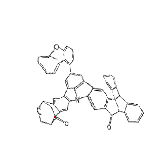 O=C1c2cc3c(cc2C2CCC1CC2)c1cc(-c2cccc4oc5ccccc5c24)cc2c4cc5c(cc4n3c12)C(=O)C1c2ccccc2C2c3ccccc3C512